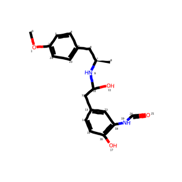 COc1ccc(C[C@@H](C)NC(O)Cc2ccc(O)c(NC=O)c2)cc1